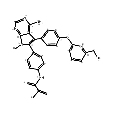 C=C(C)C(=O)Nc1ccc(-c2c(-c3ccc(Oc4cccc(CO)n4)cc3)c3c(N)ncnc3n2C)cc1